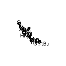 C=CC(=O)Nc1cc(Nc2nc(-c3ccnc(N4CCc5cc(C(C)(C)C)sc5C4=O)c3C)cn(C)c2=O)ccc1N1CCN(C2COC2)C[C@@H]1C